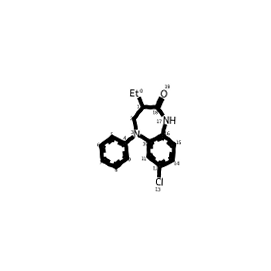 CCC1CN(c2ccccc2)c2cc(Cl)ccc2NC1=O